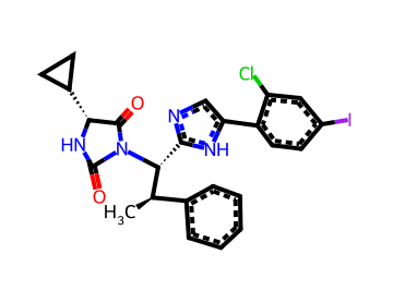 C[C@H](c1ccccc1)[C@@H](c1ncc(-c2ccc(I)cc2Cl)[nH]1)N1C(=O)N[C@H](C2CC2)C1=O